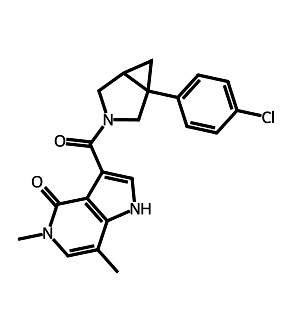 Cc1cn(C)c(=O)c2c(C(=O)N3CC4CC4(c4ccc(Cl)cc4)C3)c[nH]c12